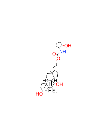 CC[C@H]1[C@@H](O)[C@@H]2[C@H](CC[C@]3(C)[C@@H](CCCOC(=O)N[C@@H]4CCC[C@H]4O)CC[C@@H]23)[C@@]2(C)CC[C@@H](O)C[C@@H]12